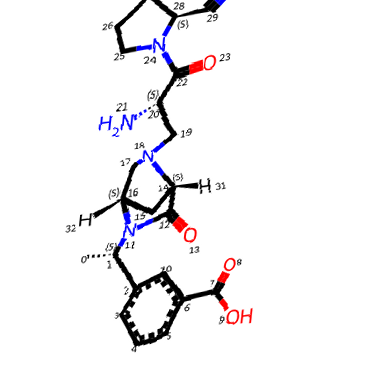 C[C@@H](c1cccc(C(=O)O)c1)N1C(=O)[C@@H]2C[C@H]1CN2C[C@H](N)C(=O)N1CCC[C@H]1C#N